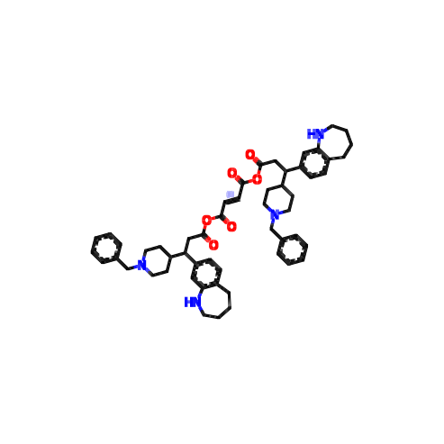 O=C(/C=C/C(=O)OC(=O)CC(c1ccc2c(c1)NCCCC2)C1CCN(Cc2ccccc2)CC1)OC(=O)CC(c1ccc2c(c1)NCCCC2)C1CCN(Cc2ccccc2)CC1